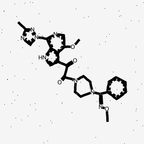 CO/N=C(\c1ccccc1)N1CCN(C(=O)C(=O)c2c[nH]c3c(-n4cnc(C)n4)ncc(OC)c23)CC1